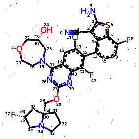 N#Cc1c(N)sc2c(F)ccc(-c3c(Cl)cc4c(N5CCOC[C@H](O)C5)nc(OC[C@@]56CCCN5C[C@H](F)C6)nc4c3F)c12